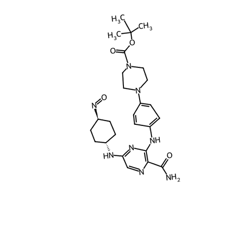 CC(C)(C)OC(=O)N1CCN(c2ccc(Nc3nc(N[C@H]4CC[C@H](N=O)CC4)cnc3C(N)=O)cc2)CC1